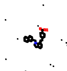 O=C(O)c1ccc(CCc2cccc3c2N(Cc2ccc4ccccc4c2)CC3)cc1